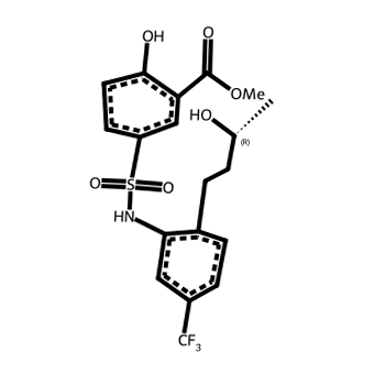 COC(=O)c1cc(S(=O)(=O)Nc2cc(C(F)(F)F)ccc2CC[C@@H](C)O)ccc1O